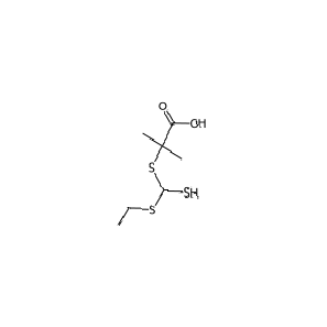 CCSC(S)SC(C)(C)C(=O)O